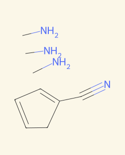 CN.CN.CN.N#CC1=CC=CC1